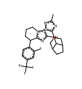 Cc1noc(N2CC3CCC(C2)C3Nc2nc3n(n2)CCCC3c2ccc(C(F)(F)F)cc2F)n1